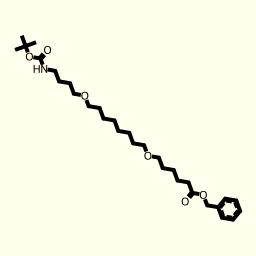 CC(C)(C)OC(=O)NCCCCOCCCCCCCCOCCCCCC(=O)OCc1ccccc1